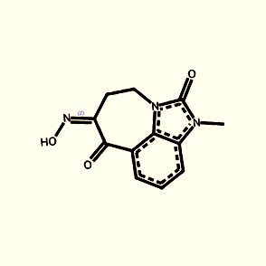 Cn1c(=O)n2c3c(cccc31)C(=O)/C(=N\O)CC2